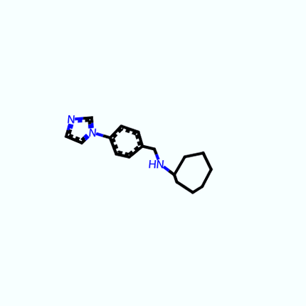 c1cn(-c2ccc(CNC3CCCCCC3)cc2)cn1